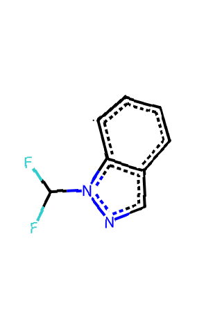 FC(F)n1ncc2ccc[c]c21